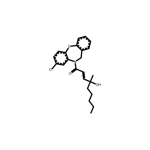 CCCCCC(C)(O)/C=C/C(=O)N1Cc2ccccc2Oc2ccc(Cl)cc21